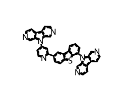 c1cc(-n2c3cnccc3c3ccncc32)c2sc3ccc(-c4cc(-n5c6cnccc6c6ccncc65)ccn4)cc3c2c1